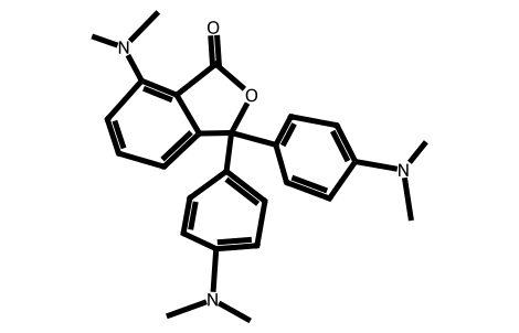 CN(C)c1ccc(C2(c3ccc(N(C)C)cc3)OC(=O)c3c(N(C)C)cccc32)cc1